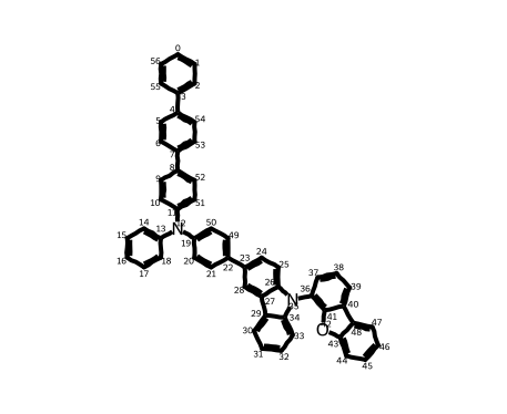 c1ccc(-c2ccc(-c3ccc(N(c4ccccc4)c4ccc(-c5ccc6c(c5)c5ccccc5n6-c5cccc6c5oc5ccccc56)cc4)cc3)cc2)cc1